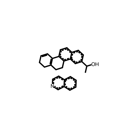 CC(O)c1ccc2ccc3c(c2c1)CCC1=C3C=CCC1.c1ccc2cnccc2c1